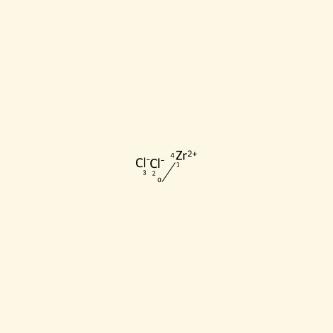 CC.[Cl-].[Cl-].[Zr+2]